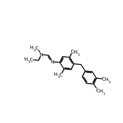 CCN(C)C=Nc1cc(C)c(Cc2ccc(C)c(C)c2)cc1C